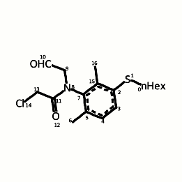 CCCCCCSc1ccc(C)c(N(CC=O)C(=O)CCl)c1C